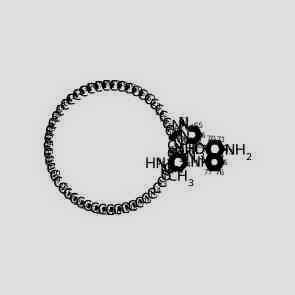 CC1(N=N)CCC(C)(N=N)C2(CCCCCCCCCCCCCCCCCCCCCCCCCCCCCCCCCCCCCCCCCCCCCCCC(N=N)(c3nnc4ccc(O[C@@H]5CC[C@H](N)c6ccccc65)cn34)CC2)C1